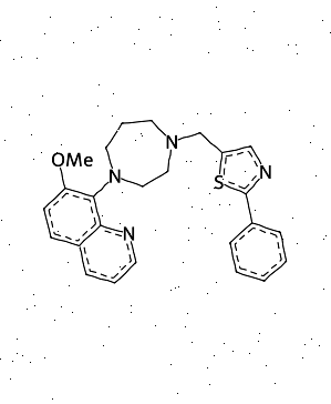 COc1ccc2cccnc2c1N1CCCN(Cc2cnc(-c3ccccc3)s2)CC1